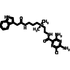 C[N+](C)(CCCNC(=O)Cc1c[nH]c2ccccc12)CCNC(=O)c1nc(Cl)c(N)nc1N